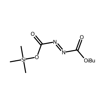 CC(C)COC(=O)/N=N/C(=O)O[Si](C)(C)C